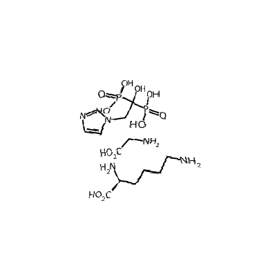 NCC(=O)O.NCCCC[C@H](N)C(=O)O.O=P(O)(O)C(O)(Cn1ccnc1)P(=O)(O)O